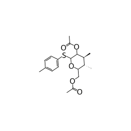 CC(=O)OCC1OC(Sc2ccc(C)cc2)C(OC(C)=O)[C@@H](C)[C@@H]1C